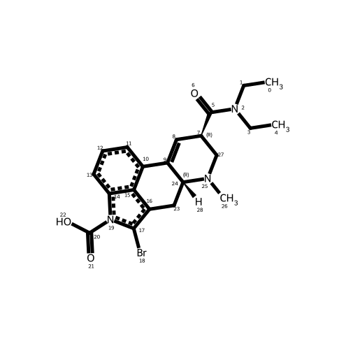 CCN(CC)C(=O)[C@@H]1C=C2c3cccc4c3c(c(Br)n4C(=O)O)C[C@H]2N(C)C1